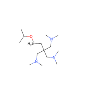 CC(C)O[SiH2]CC(CN(C)C)(CN(C)C)CN(C)C